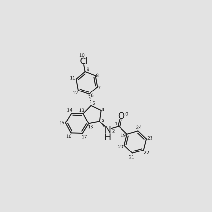 O=C(N[C@@H]1C[C@@H](c2ccc(Cl)cc2)c2ccccc21)c1ccccc1